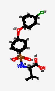 CC(C)[C@@H](NS(=O)(=O)c1ccc(Oc2ccc(Cl)cc2)cc1)C(=O)O